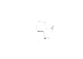 C=C(C)C1=C(C)CCCC1C(=C)C